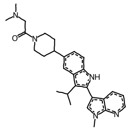 CC(C)c1c(-c2cn(C)c3ncccc23)[nH]c2ccc(C3CCN(C(=O)CN(C)C)CC3)cc12